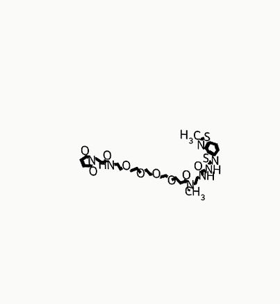 Cc1nc2c(ccc3nc(NC(=O)NCCN(C)C(=O)CCOCCOCCOCCOCCNC(=O)CCN4C(=O)C=CC4=O)sc32)s1